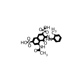 CC(=O)Nc1cc(S(=O)(=O)O)cc2c1C(=O)/C(=N\Nc1ccccc1C)C(S(=O)(=O)O)=C2